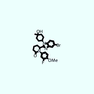 COc1ccc(N2C(=O)CCCC2c2nc3cc(Br)ccc3n2C2CCC(C)(O)CC2)cc1F